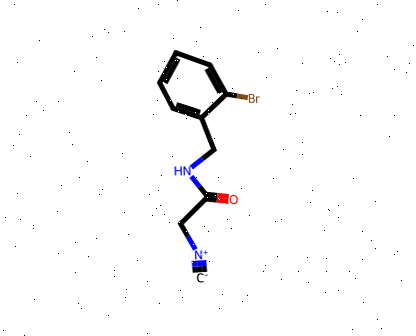 [C-]#[N+]CC(=O)NCc1ccccc1Br